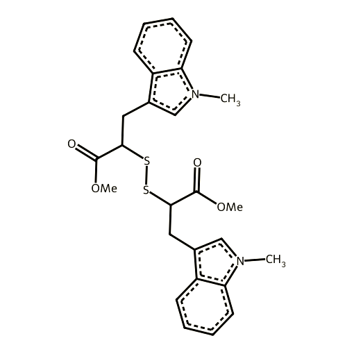 COC(=O)C(Cc1cn(C)c2ccccc12)SSC(Cc1cn(C)c2ccccc12)C(=O)OC